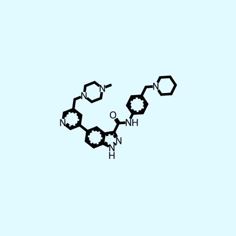 CN1CCN(Cc2cncc(-c3ccc4[nH]nc(C(=O)Nc5ccc(CN6CCCCC6)cc5)c4c3)c2)CC1